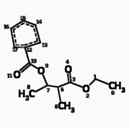 CCOC(=O)C(C)C(C)OC(=O)c1ccccc1